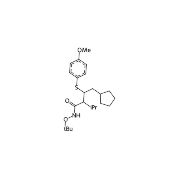 COc1ccc(SC(CC2CCCC2)C(C(=O)NOC(C)(C)C)C(C)C)cc1